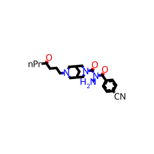 CCCC(=O)CCCN1CC2CC(C1)CN(C(=O)N(N)C(=O)c1ccc(C#N)cc1)C2